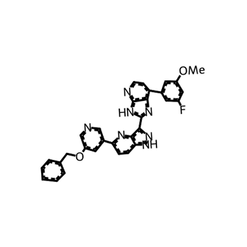 COc1cc(F)cc(-c2ccnc3[nH]c(-c4n[nH]c5ccc(-c6cncc(OCc7ccccc7)c6)nc45)nc23)c1